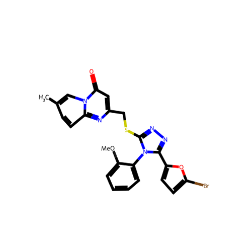 COc1ccccc1-n1c(SCc2cc(=O)n3cc(C)ccc3n2)nnc1-c1ccc(Br)o1